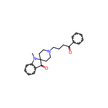 CN1c2ccccc2C(=O)C12CCN(CCCC(=O)c1ccccc1)CC2